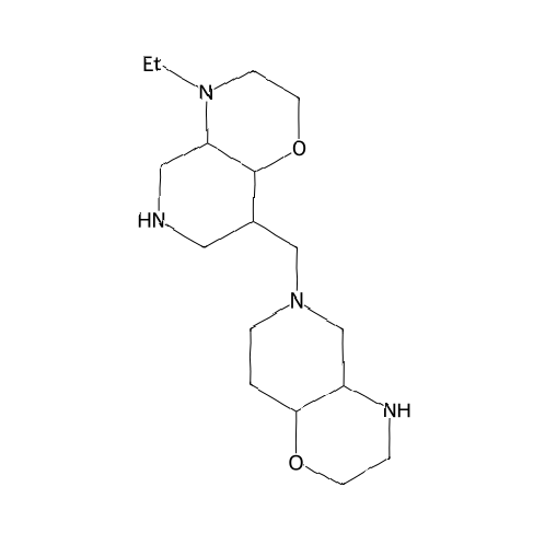 CCN1CCOC2C(CN3CCC4OCCNC4C3)CNCC21